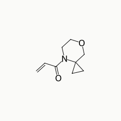 C=CC(=O)N1CCOCC12CC2